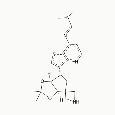 CN(C)/C=N/c1ncnc2c1ccn2[C@@H]1CC2(CNC2)[C@H]2OC(C)(C)O[C@@H]12